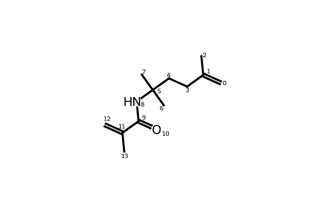 C=C(C)CCC(C)(C)NC(=O)C(=C)C